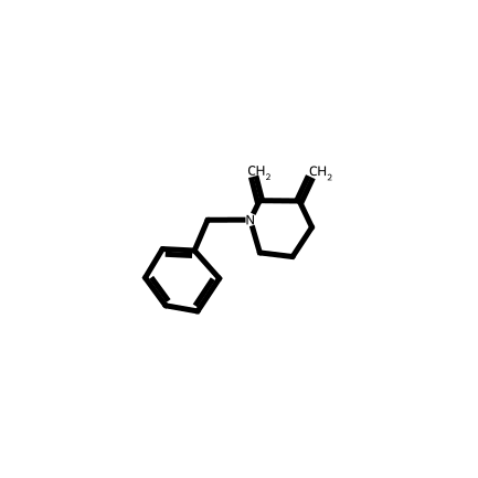 C=C1CCCN(Cc2ccccc2)C1=C